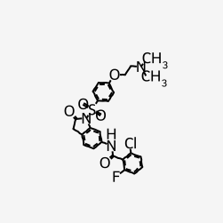 CN(C)CCOc1ccc(S(=O)(=O)N2C(=O)Cc3ccc(NC(=O)c4c(F)cccc4Cl)cc32)cc1